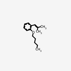 CCCCCOc1ccccc1C=C(C)C